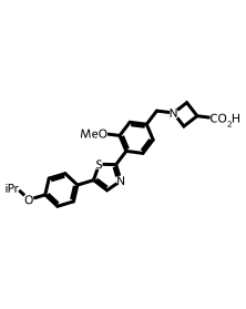 COc1cc(CN2CC(C(=O)O)C2)ccc1-c1ncc(-c2ccc(OC(C)C)cc2)s1